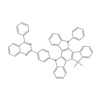 CC1(C)c2ccccc2-c2c1c1c3ccccc3n(-c3ccc(-c4nc(-c5ccccc5)c5ccccc5n4)cc3)c1c1c3ccccc3n(-c3ccccc3)c21